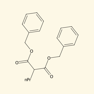 CCCC(C(=O)OCc1ccccc1)C(=O)OCc1ccccc1